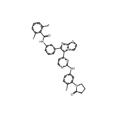 O=C(Nc1cccc(-c2nc3sccn3c2-c2ccnc(Nc3ccc(F)c(N4CCCC4=O)c3)n2)c1)c1c(F)cccc1F